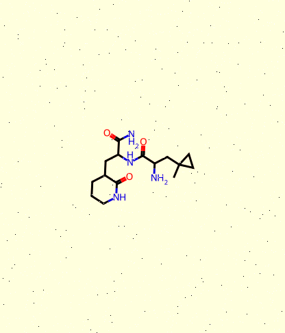 CC1(CC(N)C(=O)NC(CC2CCCNC2=O)C(N)=O)CC1